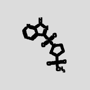 CS(=O)(=O)C1CCN(S(=O)(=O)c2n[nH]c3ncccc23)C1